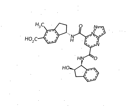 Cc1c(C(=O)O)ccc2c1CC[C@@H]2NC(=O)c1cc(C(=O)N[C@H]2c3ccccc3C[C@H]2O)nc2ccnn12